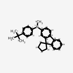 CN(c1ccc(C(C)(C)C)cc1)c1ccc2c(c1)C1(CCCC1)c1ccccc1-2